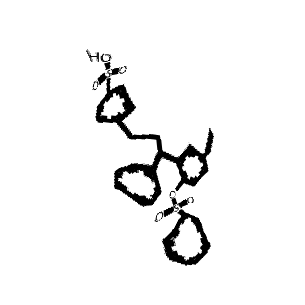 Cc1ccc(OS(=O)(=O)c2ccccc2)c(C(CCc2ccc(S(=O)(=O)O)cc2)c2ccccc2)c1